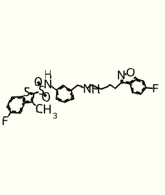 Cc1c(S(=O)(=O)Nc2cccc(CNCCCCc3noc4cc(F)ccc34)c2)sc2ccc(F)cc12